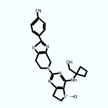 N#Cc1ccc(-c2nc3c(o2)CCN(c2nc4c(c(NC5(CO)CCC5)n2)[S@+]([O-])CC4)C3)cc1